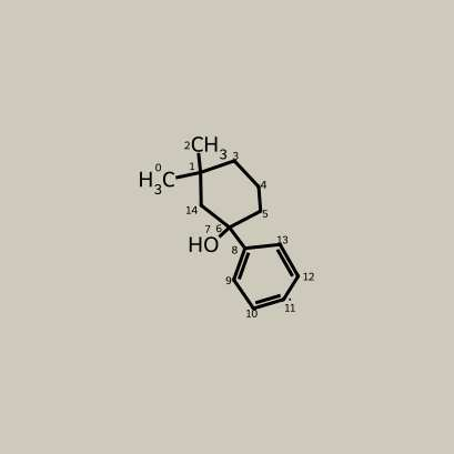 CC1(C)CCCC(O)(c2cc[c]cc2)C1